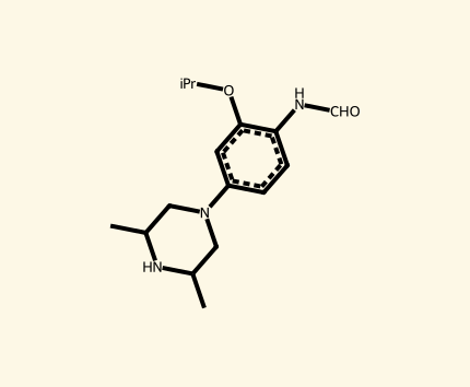 CC1CN(c2ccc(NC=O)c(OC(C)C)c2)CC(C)N1